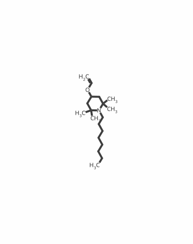 C=COC1CC(C)(C)N(CCCCCCCC)C(C)(C)C1